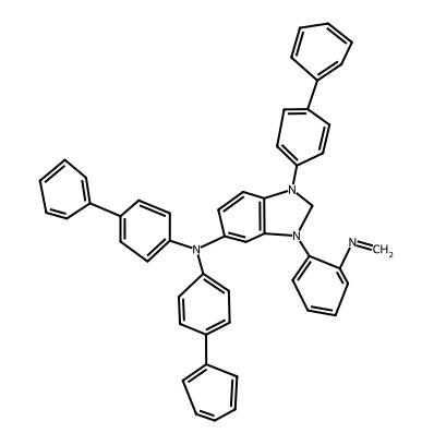 C=Nc1ccccc1N1CN(c2ccc(-c3ccccc3)cc2)c2ccc(N(c3ccc(-c4ccccc4)cc3)c3ccc(-c4ccccc4)cc3)cc21